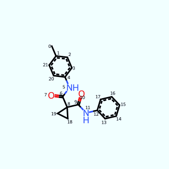 Cc1ccc(NC(=O)C2(C(=O)Nc3ccccc3)CC2)cc1